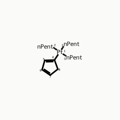 CCCC[CH2][Pt]([CH2]CCCC)([CH2]CCCC)[C]1=CC=CC1